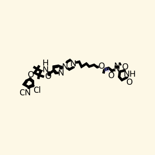 C=NN(C(=O)/C=C(\C)OCCCCCCN1CCN(c2ccc(C(=O)N[C@H]3C(C)(C)[C@H](Oc4ccc(C#N)c(Cl)c4)C3(C)C)cn2)CC1)C1CCC(=O)NC1=O